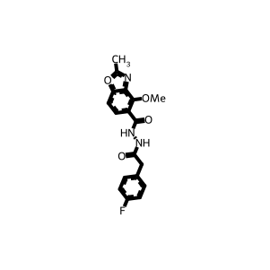 COc1c(C(=O)NNC(=O)Cc2ccc(F)cc2)ccc2oc(C)nc12